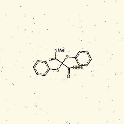 CNC(=O)C(Sc1ccccc1)(Sc1ccccc1)C(=O)NC